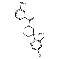 CNc1cc(C(=O)N2CCCC(OC)(c3ncc(Cl)cc3C)C2)ccn1